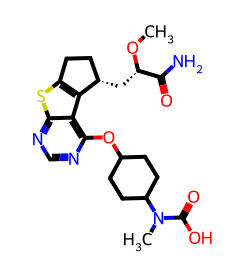 CO[C@@H](C[C@H]1CCc2sc3ncnc(OC4CCC(N(C)C(=O)O)CC4)c3c21)C(N)=O